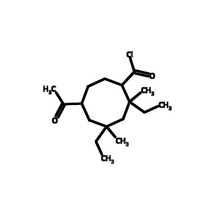 CCC1(C)CC(C(C)=O)CCC(C(=O)Cl)C(C)(CC)C1